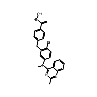 C=C(NO)c1ccc(Cc2cc(N(C)c3nc(C)nc4ccccc34)ccc2CC)nc1